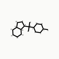 CC1CCC(C(C)(C)C2CCC3CCCCC32)CC1